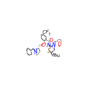 CC(C)(C)c1cn(C[C@H]2CCCO2)c(=NC(=O)c2cc(C(F)(F)F)ccc2OC[C@@H]2CCCN2Cc2ccccc2)s1